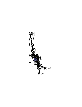 COc1cc(S(=O)(=O)CCN(CCOC(=O)CCCCCO)CCOC(=O)CCCCCO)c(OC)cc1/N=N/c1c(Nc2ccccc2)nc(NCCOCCOC(=O)CCCCCOC(=O)CCCCCOC(=O)CCCCCO)c(C#N)c1C